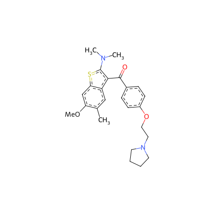 COc1cc2sc(N(C)C)c(C(=O)c3ccc(OCCN4CCCC4)cc3)c2cc1C